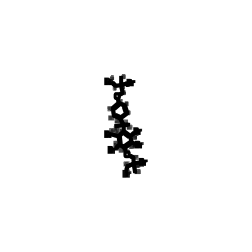 CC(Br)(CBr)COc1ccc(C(C)(C)c2c(Br)c(Br)c(OCC(C)(Br)CBr)c(Br)c2Br)cc1